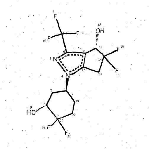 O[C@@H]1C[C@@H](n2nc(C(F)(F)F)c3c2CC(F)(F)[C@H]3O)CCC1(F)F